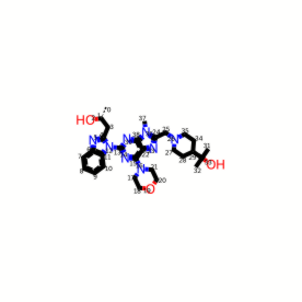 C[C@@H](O)Cc1nc2ccccc2n1-c1nc(N2CCOCC2)c2nc(CN3CCC(C(C)(C)O)CC3)n(C)c2n1